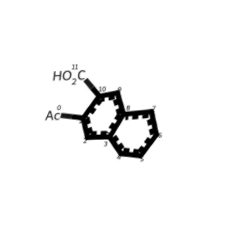 CC(=O)c1cc2ccccc2cc1C(=O)O